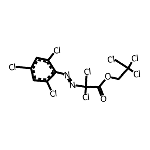 O=C(OCC(Cl)(Cl)Cl)C(Cl)(Cl)/N=N/c1c(Cl)cc(Cl)cc1Cl